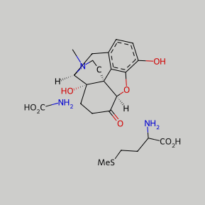 CN1CC[C@]23c4c5ccc(O)c4O[C@H]2C(=O)CC[C@@]3(O)[C@H]1C5.CSCCC(N)C(=O)O.NC(=O)O